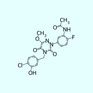 COc1nn(-c2ccc(F)c(NC(C)=O)c2)c(=O)n(Cc2ccc(Cl)c(O)c2)c1=O